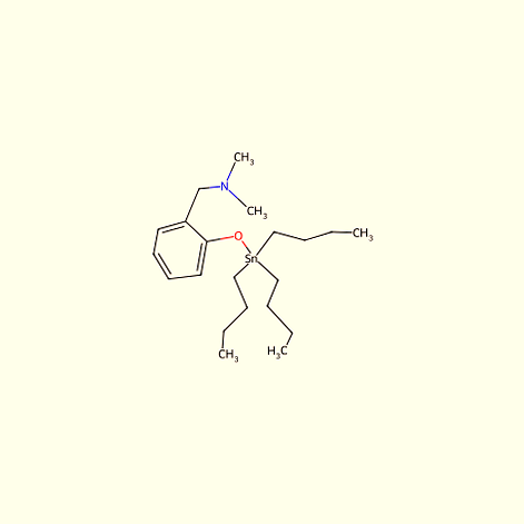 CCC[CH2][Sn]([CH2]CCC)([CH2]CCC)[O]c1ccccc1CN(C)C